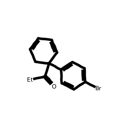 CCC(=O)C1(c2ccc(Br)cc2)C=CC=CC1